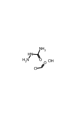 Cl.NNC(N)=O.O=CCl